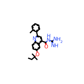 CCC(C)(C)Oc1ccc2nc(-c3ccccc3C)cc(C(=O)NC(=N)N)c2c1